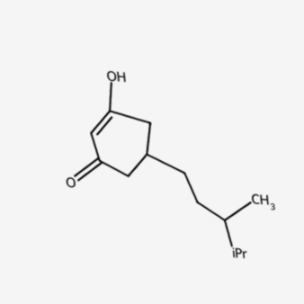 CC(C)C(C)CCC1CC(=O)C=C(O)C1